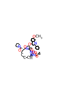 COc1ccc2c(O[C@@H]3C[C@H]4C(=O)N[C@]5(C(=O)NS(=O)(=O)C6CC6)C[C@H]5CCCCCCC[C@H](CC(=O)N5CCCCC5)C(=O)N4C3)cc(-c3ccccc3)nc2c1